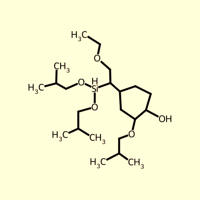 CCOCC(C1CCC(O)C(OCC(C)C)C1)[SiH](OCC(C)C)OCC(C)C